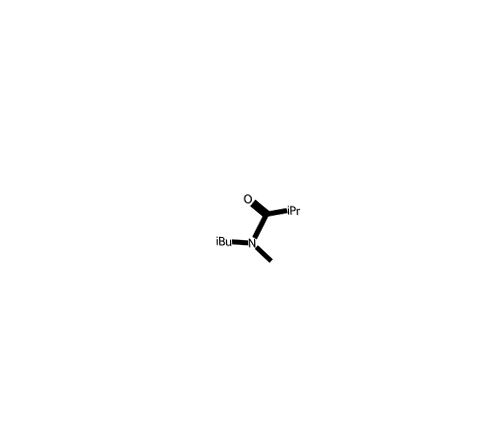 CCC(C)N(C)C(=O)C(C)C